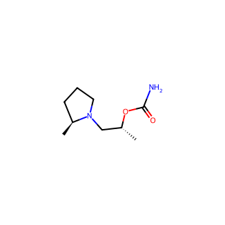 C[C@H](CN1CCC[C@@H]1C)OC(N)=O